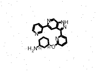 N[C@H]1CCC[C@@H](Oc2cccc(-c3n[nH]c4cnc(-c5cccnc5)cc34)n2)C1